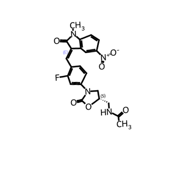 CC(=O)NC[C@H]1CN(c2ccc(/C=C3/C(=O)N(C)c4ccc([N+](=O)[O-])cc43)c(F)c2)C(=O)O1